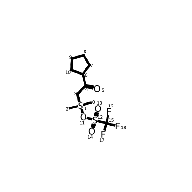 CS(C)(CC(=O)C1CCCC1)OS(=O)(=O)C(F)(F)F